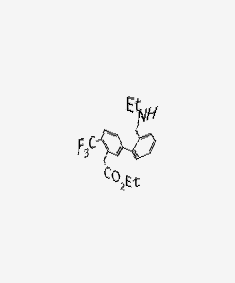 CCNCc1ccccc1-c1ccc(C(F)(F)F)c(CC(=O)OCC)c1